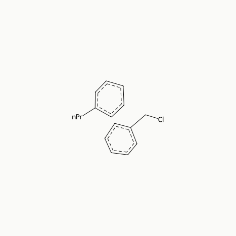 CCCc1ccccc1.ClCc1ccccc1